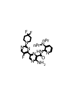 CCCN(CCC)c1cccnc1NC(=O)c1nc(-c2nc(N3CCC(F)(F)CC3)ncc2F)cnc1N